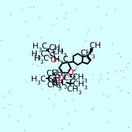 C#CC1=CCC2[C@H](CO[Si](C)(C)C(C)(C)C)C([C@@]3(C)CC[C@H](O[Si](C)(C)C(C)(C)C)C[C@@H]3CO[Si](C)(C)C(C)(C)C)CC[C@]12C